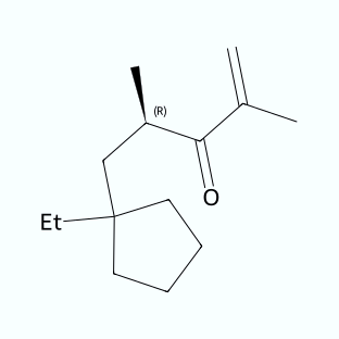 C=C(C)C(=O)[C@H](C)CC1(CC)CCCC1